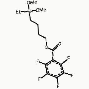 CC[Si](CCCCOC(=O)c1c(F)c(F)c(F)c(F)c1F)(OC)OC